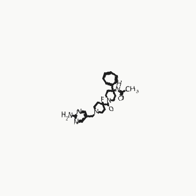 CC(=O)NC1(C2=CCC=CC=C2)CCN(C(=O)C2(F)CCN(Cc3cnc(N)nc3)CC2)CC1